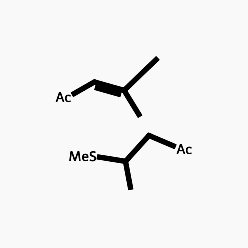 CC(=O)C=C(C)C.CSC(C)CC(C)=O